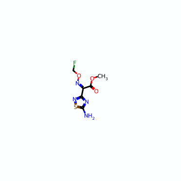 COC(=O)/C(=N\OCF)c1nsc(N)n1